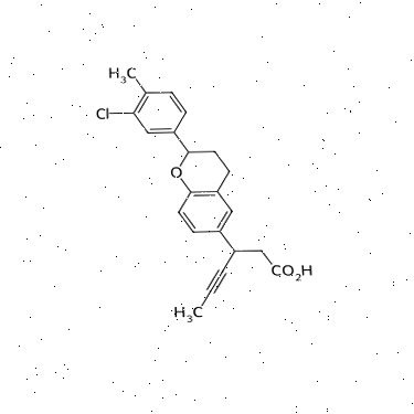 CC#CC(CC(=O)O)c1ccc2c(c1)CCC(c1ccc(C)c(Cl)c1)O2